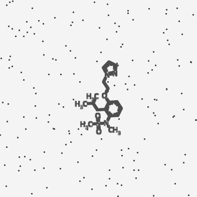 CC(C)Cc1c(OCCn2cccn2)cccc1N(C)S(C)(=O)=O